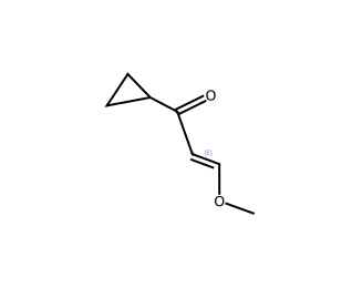 CO/C=C/C(=O)C1CC1